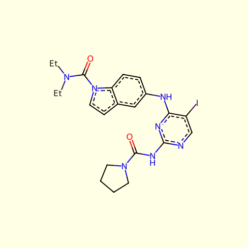 CCN(CC)C(=O)n1ccc2cc(Nc3nc(NC(=O)N4CCCC4)ncc3I)ccc21